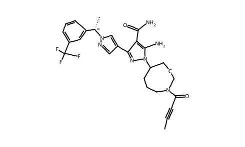 CC#CC(=O)N1CCCC(n2nc(-c3cnn([C@@H](C)c4cccc(C(F)(F)F)c4)c3)c(C(N)=O)c2N)CCC1